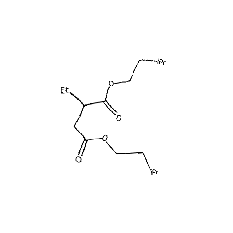 CCC(CC(=O)OCCC(C)C)C(=O)OCCC(C)C